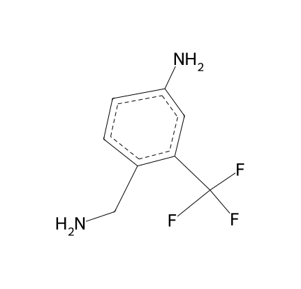 NCc1ccc(N)cc1C(F)(F)F